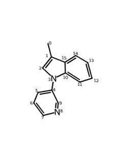 Cc1cn(-c2cccnc2)c2ccccc12